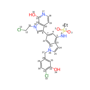 CCS(=O)(=O)Nc1cc(-c2cn(CCCl)c3c(O)nccc23)cc2c1ccn2Cc1ccc(Cl)c(O)c1